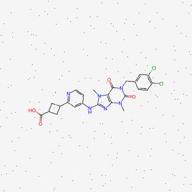 Cn1c(Nc2ccnc(C3CC(C(=O)O)C3)c2)nc2c1c(=O)n(Cc1ccc(Cl)c(Cl)c1)c(=O)n2C